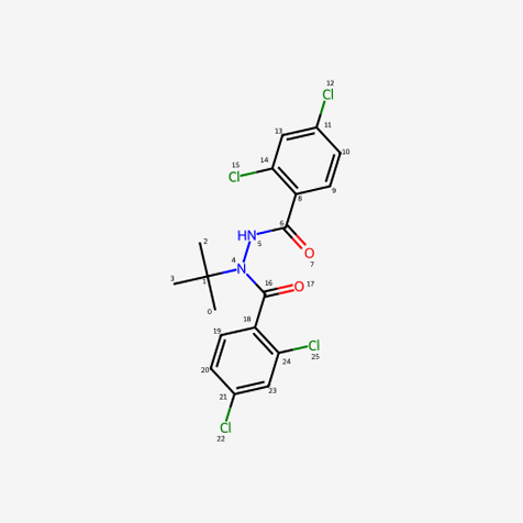 CC(C)(C)N(NC(=O)c1ccc(Cl)cc1Cl)C(=O)c1ccc(Cl)cc1Cl